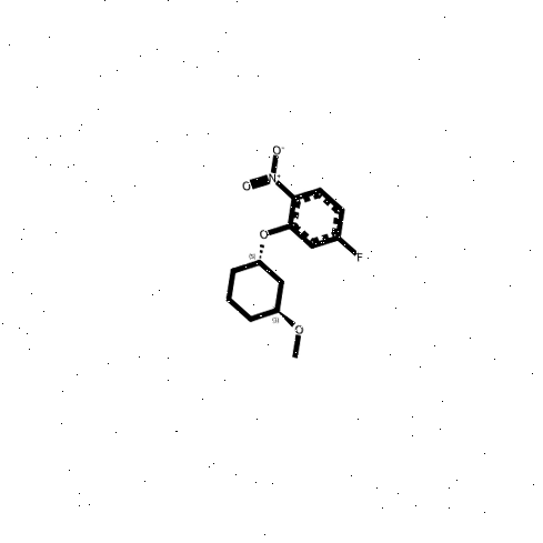 CO[C@H]1CCC[C@H](Oc2cc(F)ccc2[N+](=O)[O-])C1